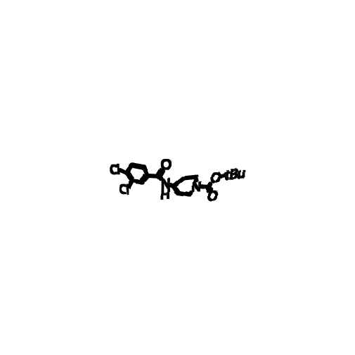 CC(C)(C)OC(=O)N1CCC(NC(=O)c2ccc(Cl)c(Cl)c2)CC1